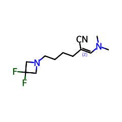 CN(C)/C=C(\C#N)CCCCN1CC(F)(F)C1